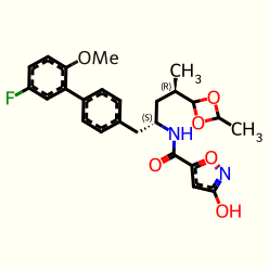 COc1ccc(F)cc1-c1ccc(C[C@H](C[C@@H](C)C2OC(C)O2)NC(=O)c2cc(O)no2)cc1